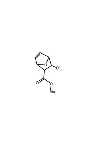 CC(C)(C)OC(=O)C1C2C=CC(O2)C1C(F)(F)F